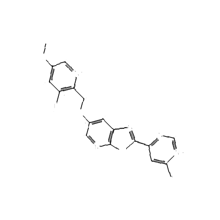 COc1cnc(COc2cnc3oc(-c4cc(C)ncn4)nc3c2)c(F)c1